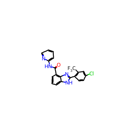 O=C(Nc1ccccn1)c1cccc2[nH]c(-c3ccc(Cl)cc3C(F)(F)F)nc12